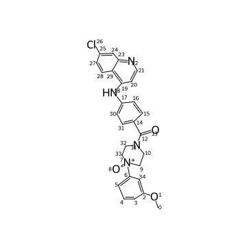 COc1cccc([N+]2([O-])CCN(C(=O)c3ccc(Nc4ccnc5cc(Cl)ccc45)cc3)CC2)c1